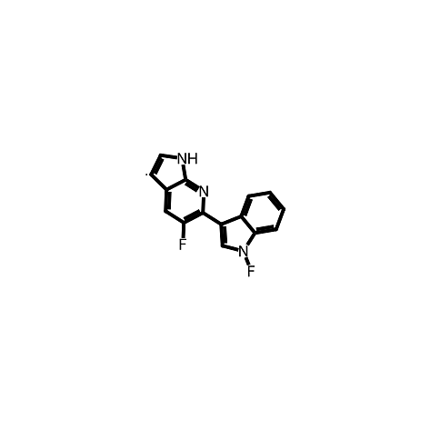 Fc1cc2[c]c[nH]c2nc1-c1cn(F)c2ccccc12